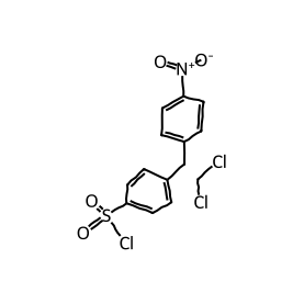 ClCCl.O=[N+]([O-])c1ccc(Cc2ccc(S(=O)(=O)Cl)cc2)cc1